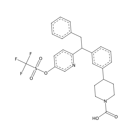 O=C(O)N1CCC(c2cccc(C(Cc3ccccc3)c3ccc(OS(=O)(=O)C(F)(F)F)cn3)c2)CC1